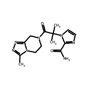 Cc1nnc2n1CCN(C(=O)C(C)(C)n1c[c]nc1C(N)=O)C2